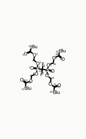 CC(C)(C)C(=O)OCOP(=O)(OCOC(=O)C(C)(C)C)C(F)(F)P(=O)(OCOC(=O)C(C)(C)C)OCOC(=O)C(C)(C)C